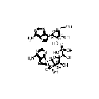 Nc1ncnc2c1ncn2[C@@H]1O[C@H](C(O)P(=O)(O)O)[C@@H](O)[C@]1(O)P(=O)(O)O.Nc1ncnc2c1ncn2[C@@H]1O[C@H](CO)[C@@H](O)[C@H]1O